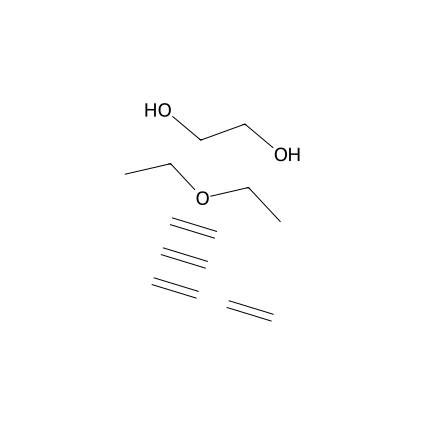 C=C.C=C.C=C.C=C.CCOCC.OCCO